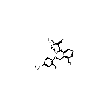 Cc1ccc(OCc2c(Cl)cccc2-n2nnn(C)c2=O)c(F)c1